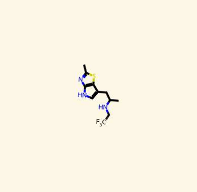 Cc1nc2[nH]cc(CC(C)NCC(F)(F)F)c2s1